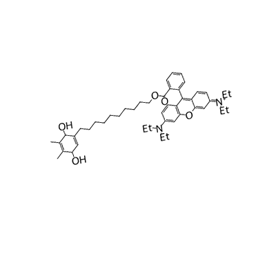 CCN(CC)c1ccc2c(-c3ccccc3C(=O)OCCCCCCCCCCC3=CC(O)C(C)=C(C)C3O)c3ccc(=[N+](CC)CC)cc-3oc2c1